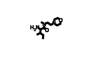 CCC(C)C(N)C(=O)N(C)CCN1CCOCC1